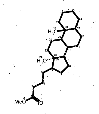 COC(=O)CCCC1CCC2C3CCC4CCCCC4(C)C3CC[C@]12C